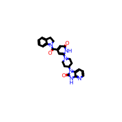 O=C(c1cc(N2CCC(n3c(=O)[nH]c4ncccc43)CC2)[nH]c(=O)c1)N1CCc2ccccc21